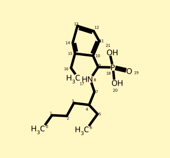 CCCCC(CC)CNC(c1ccccc1CC)P(=O)(O)O